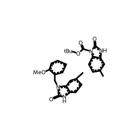 COc1ccccc1Cn1c(=O)[nH]c2ccc(C)cc21.Cc1ccc2c(c1)[nH]c(=O)n2C(=O)OC(C)(C)C